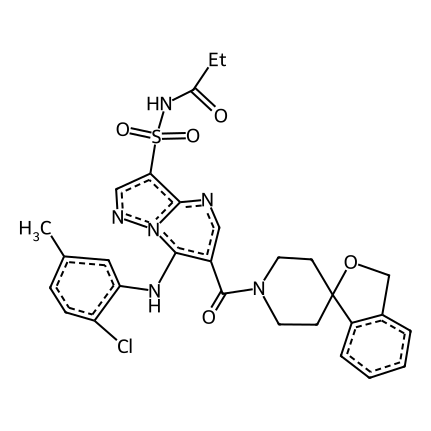 CCC(=O)NS(=O)(=O)c1cnn2c(Nc3cc(C)ccc3Cl)c(C(=O)N3CCC4(CC3)OCc3ccccc34)cnc12